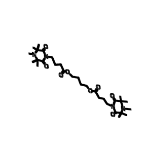 CN1C(C)(C)C(=O)N(CCCC(=O)OCCCCOC(=O)CCCN2C(=O)C(C)(C)N(C)C(C)(C)C2=O)C(=O)C1(C)C